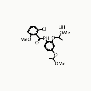 COc1cccc(Cl)c1C(=O)Pc1ccc(OC(C)OC)cc1OC(C)OC.[LiH]